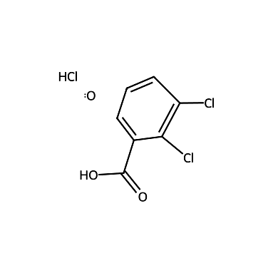 Cl.O=C(O)c1cccc(Cl)c1Cl.[O]